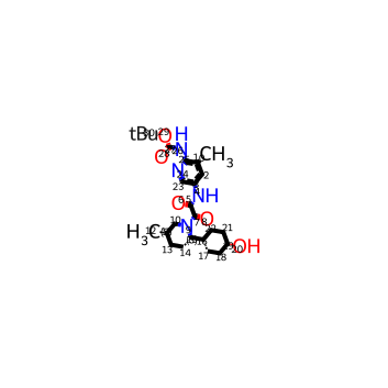 Cc1cc(NC(=O)C(=O)N2C[C@@H](C)CC[C@H]2[C@H]2CC[C@@H](O)CC2)cnc1NC(=O)OC(C)(C)C